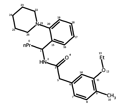 CCCC(NC(=O)Cc1ccc(C)c(OCC)c1)c1ccccc1N1CCCCC1